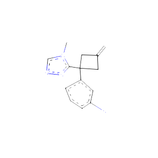 C=C1CC(c2cccc(N)c2)(c2nncn2C)C1